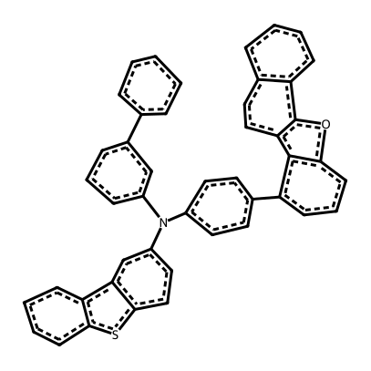 c1ccc(-c2cccc(N(c3ccc(-c4cccc5oc6c7ccccc7ccc6c45)cc3)c3ccc4sc5ccccc5c4c3)c2)cc1